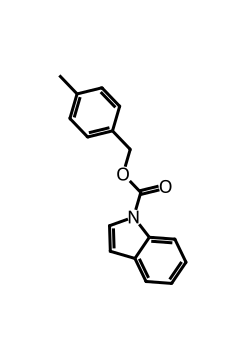 Cc1ccc(COC(=O)n2ccc3ccccc32)cc1